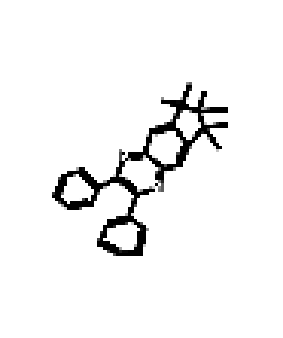 CC1(C)c2cc3nc(-c4ccccc4)c(-c4ccccc4)nc3cc2C(C)(C)C1(C)C